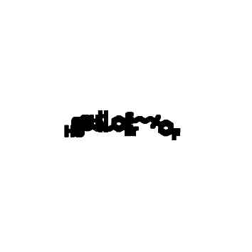 CC(C)(CCCCSc1ccc(CNCCCP(=O)(O)O)cc1Br)c1ccc(F)cc1